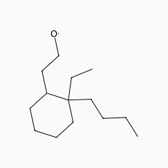 CCCCC1(CC)CCCCC1CC[O]